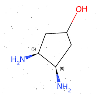 N[C@@H]1CC(O)C[C@@H]1N